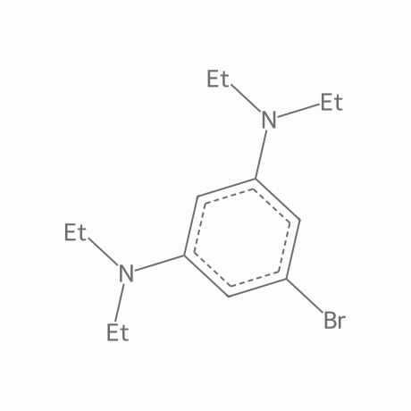 CCN(CC)c1cc(Br)cc(N(CC)CC)c1